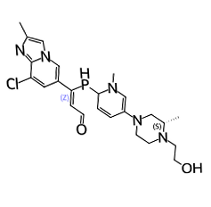 Cc1cn2cc(/C(=C/C=O)PC3C=CC(N4CCN(CCO)[C@@H](C)C4)=CN3C)cc(Cl)c2n1